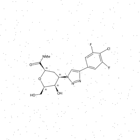 CNC(=O)[C@H]1C[C@@H](n2cc(-c3cc(F)c(Cl)c(F)c3)nn2)[C@@H](O)[C@@H](CO)O1